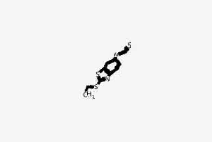 CCSc1nc2ccc(N=C=S)cc2s1